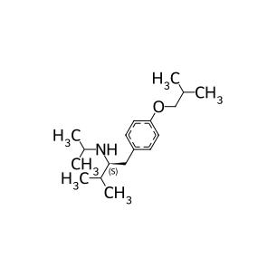 CC(C)COc1ccc(C[C@H](NC(C)C)C(C)C)cc1